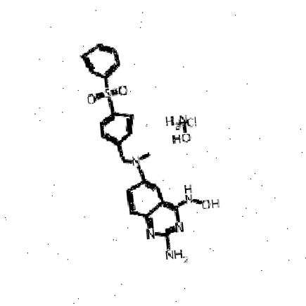 CN(Cc1ccc(S(=O)(=O)c2ccccc2)cc1)c1ccc2nc(N)nc(NO)c2c1.Cl.NO